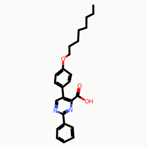 CCCCCCCCOc1ccc(-c2cnc(-c3ccccc3)nc2C(=O)O)cc1